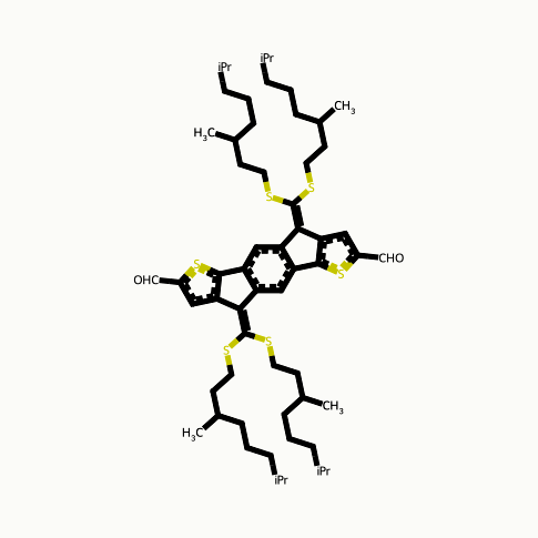 CC(C)CCCC(C)CCSC(SCCC(C)CCCC(C)C)=C1c2cc3c(cc2-c2sc(C=O)cc21)C(=C(SCCC(C)CCCC(C)C)SCCC(C)CCCC(C)C)c1cc(C=O)sc1-3